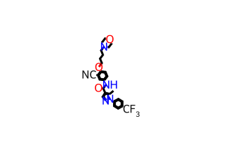 Cc1c(C(=O)Nc2ccc(OCCCCN3CCOCC3)c(C#N)c2)cnn1-c1ccc(C(F)(F)F)cc1